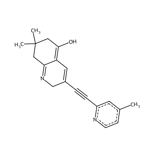 Cc1ccnc(C#CC2=CC3=C(O)CC(C)(C)CC3=NC2)c1